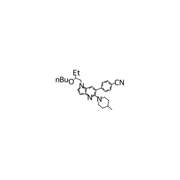 CCCCOC(CC)Cn1ccc2nc(N3CCC(C)CC3)c(-c3ccc(C#N)cc3)cc21